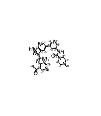 CN1CCN(C(=O)Nc2cncc(-c3cnc4[nH]nc(-c5nc6c(C(=O)I)cncc6[nH]5)c4c3)c2)CC1